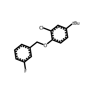 CC(C)(C)c1ccc(OCc2cccc(F)c2)c(Cl)c1